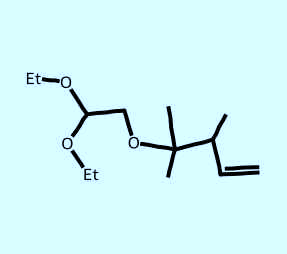 C=CC(C)C(C)(C)OCC(OCC)OCC